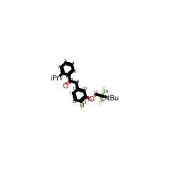 CC(C)c1ccccc1C(=O)Cc1ccc(F)c(OCC(F)(F)C(C)(C)C)c1